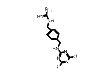 CNC(=N)NCc1ccc(CNc2nc(Cl)nc(Cl)n2)cc1